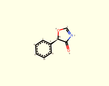 O=C1N=CO[C@@H]1c1ccccc1